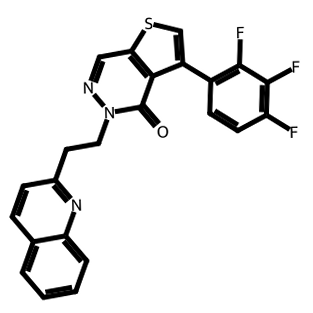 O=c1c2c(-c3ccc(F)c(F)c3F)csc2cnn1CCc1ccc2ccccc2n1